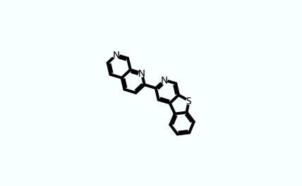 c1ccc2c(c1)sc1cnc(-c3ccc4ccncc4n3)cc12